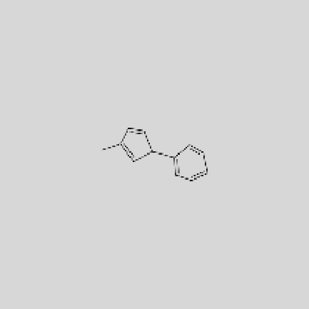 CC1=CC(c2ccccc2)C=C1